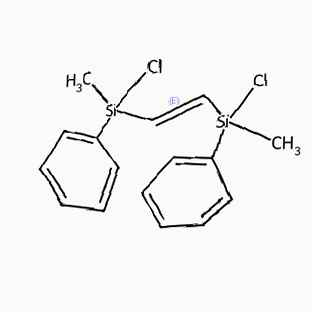 C[Si](Cl)(/C=C/[Si](C)(Cl)c1ccccc1)c1ccccc1